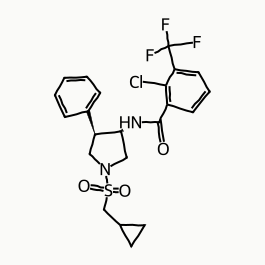 O=C(N[C@@H]1CN(S(=O)(=O)CC2CC2)C[C@H]1c1ccccc1)c1cccc(C(F)(F)F)c1Cl